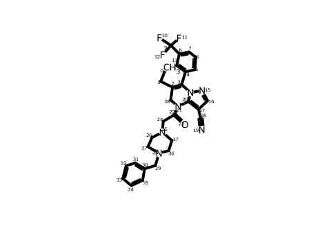 CCC1=C(c2cccc(C(F)(F)F)c2)n2ncc(C#N)c2N(C(=O)CN2CCN(Cc3ccccc3)CC2)C1